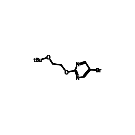 CC(C)(C)OCCOc1ncc(Br)cn1